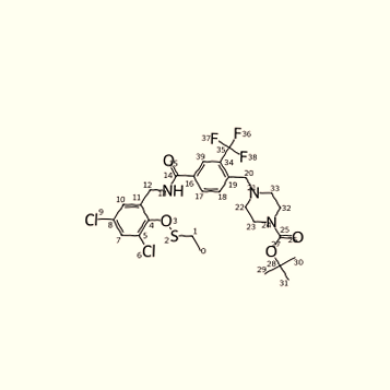 CCSOc1c(Cl)cc(Cl)cc1CNC(=O)c1ccc(CN2CCN(C(=O)OC(C)(C)C)CC2)c(C(F)(F)F)c1